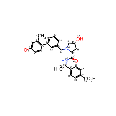 Cc1cc(O)ccc1-c1cccc(CN2C[C@H](O)C[C@@H]2C(=O)N[C@@H](C)c2ccc(C(=O)O)cc2)c1